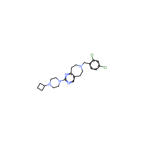 Clc1ccc(CN2CCc3cnc(N4CCN(C5CCC5)CC4)nc3CC2)c(Cl)c1